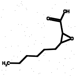 CCCCCCC1OC1C(=O)O